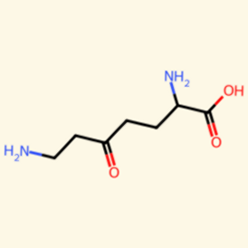 NCCC(=O)CCC(N)C(=O)O